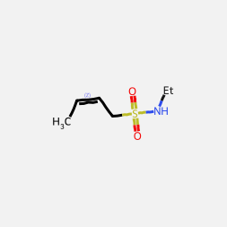 C/C=C\CS(=O)(=O)NCC